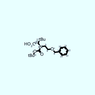 CC(C)(C)OC(=O)N(CCOCc1ccccc1)[C@H](C(=O)O)C(C)(C)C